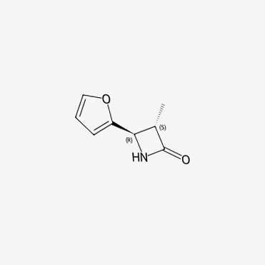 C[C@@H]1C(=O)N[C@H]1c1ccco1